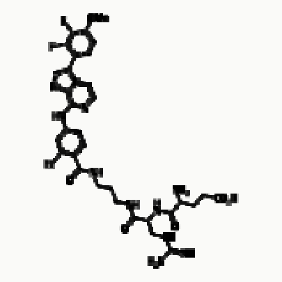 CCc1cc(Nc2nccn3c(-c4ccc(OC)c(F)c4F)cnc23)ccc1C(=O)NCCCNC(=O)C(CNC(=N)N)NC(=O)C(N)CCC(=O)O